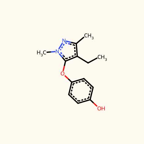 CCc1c(C)nn(C)c1Oc1ccc(O)cc1